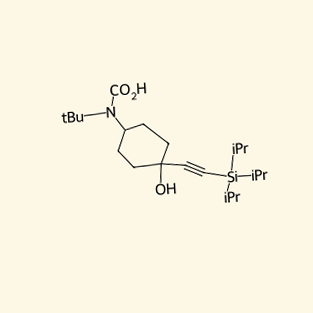 CC(C)[Si](C#CC1(O)CCC(N(C(=O)O)C(C)(C)C)CC1)(C(C)C)C(C)C